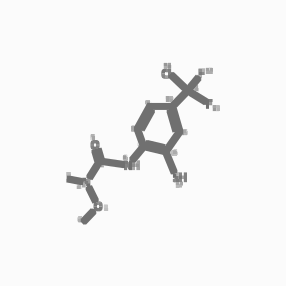 CON(C)C(=O)Nc1ccc(C(F)(F)Cl)cc1S